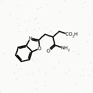 NC(=O)C(CC(=O)O)Cc1nc2ccccc2o1